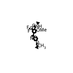 COc1cc(-c2cnc3cc(OCC4(C)CC4)ccn23)cc(OC(F)F)c1C(=O)NC1CC1